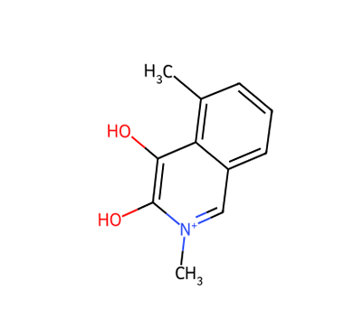 Cc1cccc2c[n+](C)c(O)c(O)c12